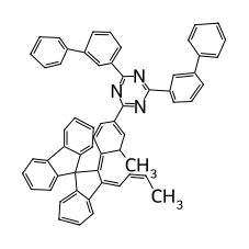 C\C=C/C=C1\C(=C2\C=CC(c3nc(-c4cccc(-c5ccccc5)c4)nc(-c4cccc(-c5ccccc5)c4)n3)=CC2C)C2(c3ccccc31)c1ccccc1-c1ccccc12